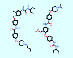 CCC(CC)NC(=O)Nc1ccc(Oc2ccc(NC(=O)c3ccc(OC4CCN(C(C)C)CC4)cc3)cc2COC)cc1.CCCCN1CCC(Oc2ccc(C(=O)Nc3ccc(Oc4ccc(NC(=O)NC(CC)CC)cc4C)cc3)cc2)CC1